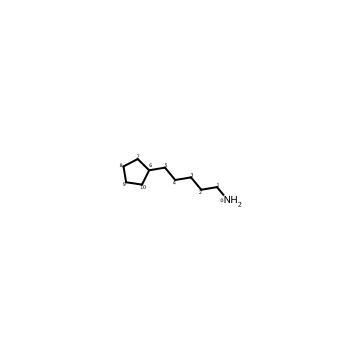 NCCCCCC1CCCC1